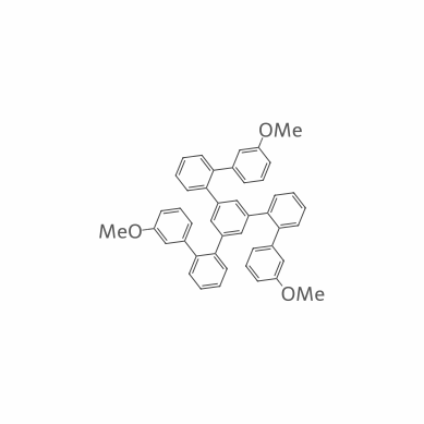 COc1cccc(-c2ccccc2-c2cc(-c3ccccc3-c3cccc(OC)c3)cc(-c3ccccc3-c3cccc(OC)c3)c2)c1